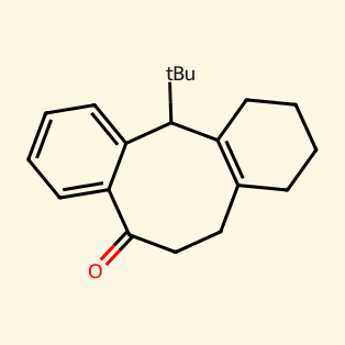 CC(C)(C)C1C2=C(CCCC2)CCC(=O)c2ccccc21